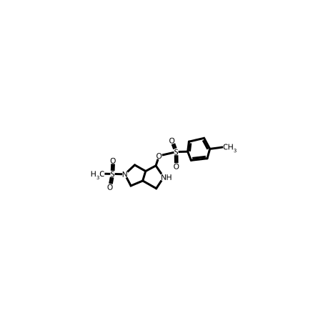 Cc1ccc(S(=O)(=O)OC2NCC3CN(S(C)(=O)=O)CC32)cc1